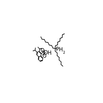 CC(C)c1cc2ccccc2c(S(=O)(=O)O)c1C(C)C.CCCCCCCCC(P)(CCCCCCCC)CCCCCCCC